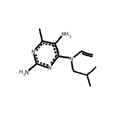 C=CN(CC(C)C)c1nc(N)nc(C)c1N